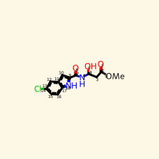 COC(=O)CC(O)NC(=O)c1cc2cc(Cl)ccc2[nH]1